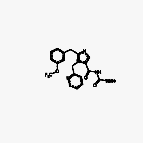 CNC(=O)NC(=O)c1cnc(Cc2cccc(OC(F)(F)F)c2)n1Cc1ccccn1